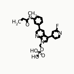 C=CC(=O)N(C)c1cccc(-c2cnc3c(c2)c(-c2ccnc(F)c2)cn3COP(=O)(O)O)c1